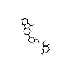 CC(C)CC(NC(=O)CNC(=O)c1cc(Cl)ccc1Cl)C(=O)ON1C(=O)c2ccccc2C1=O